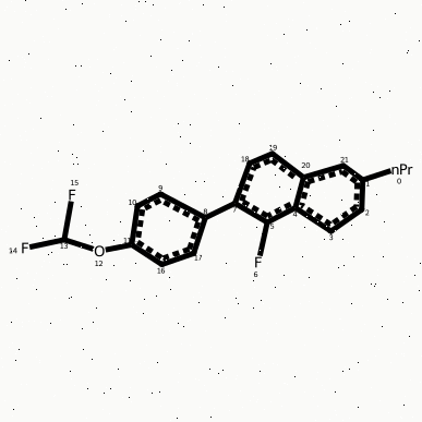 CCCc1ccc2c(F)c(-c3ccc(OC(F)F)cc3)ccc2c1